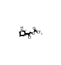 O=C(OC/C(Cl)=C1/CCCNC1)C(F)(F)F